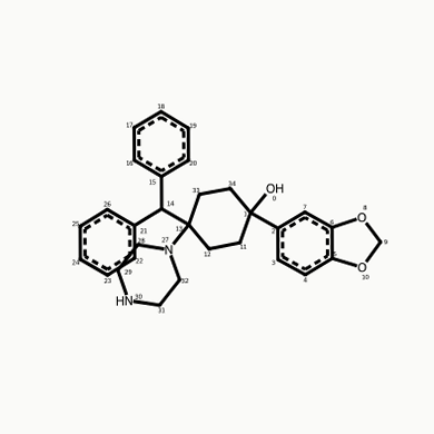 OC1(c2ccc3c(c2)OCO3)CCC(C(c2ccccc2)c2ccccc2)(N2CCNCC2)CC1